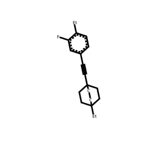 CCc1ccc(C#CC23CCC(CC)(CC2)CC3)cc1F